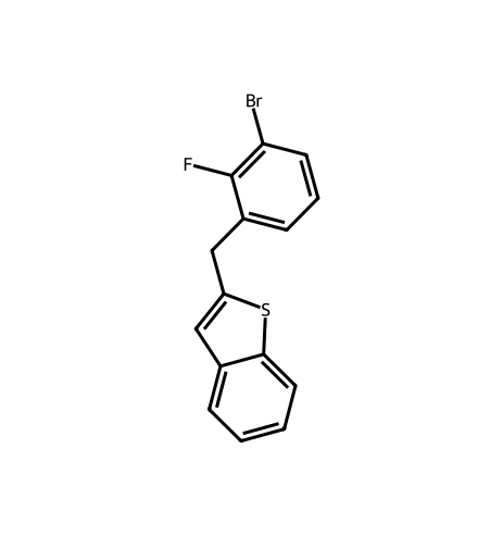 Fc1c(Br)cccc1Cc1cc2ccccc2s1